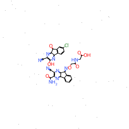 N#Cc1nc2c(nc1C(N)=O)-c1ccccc1/C2=N\OCC(=O)NCC(=O)O.N#Cc1nc2c(nc1O)-c1ccc(Cl)cc1C2=O